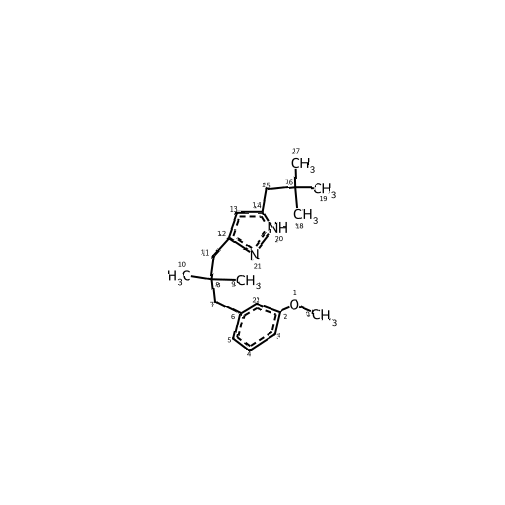 COc1cccc(CC(C)(C)Cc2cc(CC(C)(C)C)[nH]n2)c1